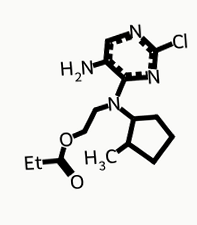 CCC(=O)OCCN(c1nc(Cl)ncc1N)C1CCCC1C